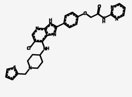 O=C(COc1ccc(-c2nc3c(NC4CCN(Cc5cccs5)CC4)c(Cl)cnc3[nH]2)cc1)Nc1ncccn1